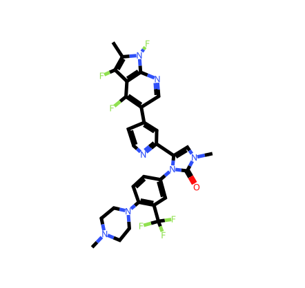 Cc1c(F)c2c(F)c(-c3ccnc(-c4cn(C)c(=O)n4-c4ccc(N5CCN(C)CC5)c(C(F)(F)F)c4)c3)cnc2n1F